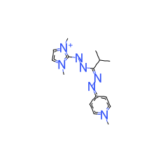 CC(C)C(N=Nc1n(C)cc[n+]1C)=NN=c1ccn(C)cc1